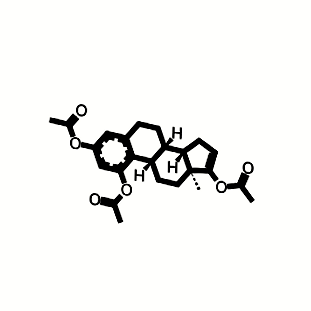 CC(=O)OC1=CC[C@H]2[C@H]3CCc4cc(OC(C)=O)cc(OC(C)=O)c4[C@H]3CC[C@]12C